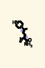 C=N/C(=C\C=C(/C)N1CCNCC1)C(N)=O